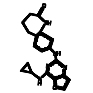 O=C1CCCc2ccc(Nc3nc(NC4CC4)c4occc4n3)cc2N1